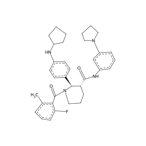 Cc1cccc(F)c1C(=O)N1CCC[C@@H](C(=O)Nc2cccc(N3CCCC3)c2)[C@@H]1c1ccc(NC2CCCC2)cc1